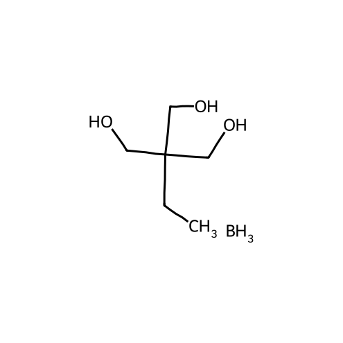 B.CCC(CO)(CO)CO